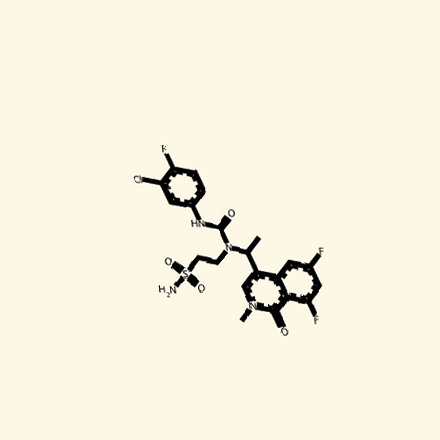 CC(c1cn(C)c(=O)c2c(F)cc(F)cc12)N(CCS(N)(=O)=O)C(=O)Nc1ccc(F)c(Cl)c1